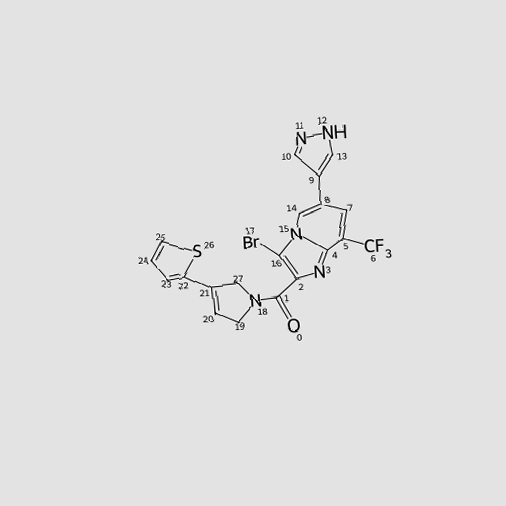 O=C(c1nc2c(C(F)(F)F)cc(-c3cn[nH]c3)cn2c1Br)N1CC=C(c2cccs2)C1